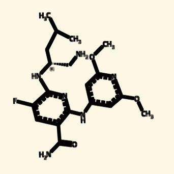 COc1cc(Nc2nc(N[C@@H](CN)CC(C)C)c(F)cc2C(N)=O)cc(OC)n1